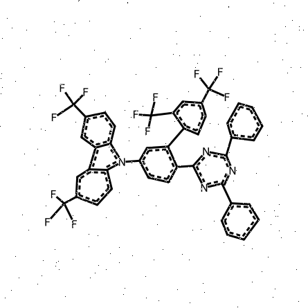 FC(F)(F)c1ccc(-c2cc(-n3c4ccc(C(F)(F)F)cc4c4cc(C(F)(F)F)ccc43)ccc2-c2nc(-c3ccccc3)nc(-c3ccccc3)n2)c(C(F)(F)F)c1